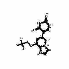 CC(F)(F)COc1cc(-c2c[nH]c(=O)[nH]c2=O)nn2ccnc12